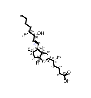 CCCC[C@@H](F)[C@H](O)/C=C/[C@H]1[C@H]2C[C@H]([C@H](I)CCCC(=O)O)O[C@H]2C[C@H]1C